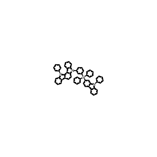 c1ccc(-n2c3ccccc3c3ccc([Si](c4ccccc4)(c4ccccc4)c4cccc(-n5c6ccccc6c6c5ccc5c7ccccc7n(-c7ccccc7)c56)c4)cc32)cc1